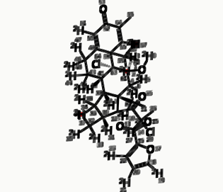 [2H]O[C@@]1([2H])C([2H])(C)[C@]2(C([2H])([2H])C)[C@@](OC(=O)c3oc([2H])c([2H])c3[2H])(C(=O)C([2H])(C)Cl)[C@]([2H])(C([2H])([2H])[2H])C([2H])([2H])[C@]2([2H])[C@]2([2H])C([2H])([2H])C([2H])([2H])C3=C([2H])C(=O)C(C)=C([2H])C3(C([2H])([2H])C)[C@]21Cl